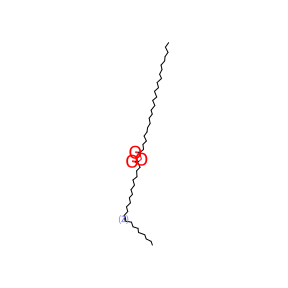 CCCCCCCC/C=C\CCCCCCCCCCCC(=O)OC(=O)CCCCCCCCCCCCCCCCCCCCCCCCC